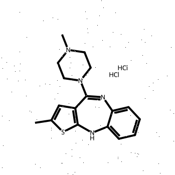 Cc1cc2c(s1)Nc1ccccc1N=C2N1CCN(C)CC1.Cl.Cl